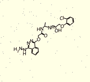 CC(NCC(O)COc1ccccc1Cl)NC(=O)COc1nnc(NN)c2ccccc12